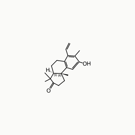 C=Cc1c(C)c(O)cc2c1CC[C@@H]1C(C)(C)C(=O)CC[C@@]21C